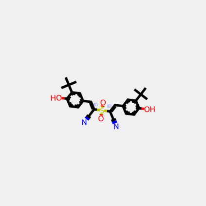 CC(C)(C)c1cc(/C=C(\C#N)S(=O)(=O)/C(C#N)=C/c2ccc(O)c(C(C)(C)C)c2)ccc1O